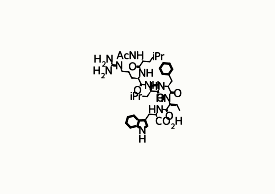 C/C=C(/NC(=O)[C@H](Cc1ccccc1)NC(=O)[C@@H](CC(C)C)NC(=O)[C@@H](CCCN=C(N)N)NC(=O)[C@@H](CC(C)C)NC(C)=O)C(=O)N[C@H](Cc1c[nH]c2ccccc12)C(=O)O